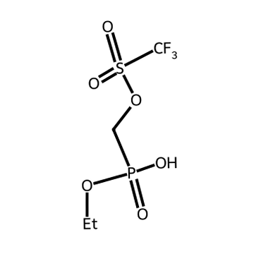 CCOP(=O)(O)COS(=O)(=O)C(F)(F)F